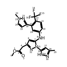 COC(=O)Cc1cc(Nc2ccc(C(F)(F)F)c(-c3ccn(C)n3)c2)n(-c2cc(C)n[nH]2)n1